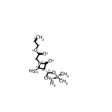 C=CCOC(=O)CN1C(=O)[C@H](C(C)O[Si](C)(C)C)[C@H]1S